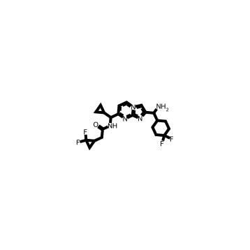 NC(c1cn2ccc(C(NC(=O)CC3CC3(F)F)C3CC3)nc2n1)C1CCC(F)(F)CC1